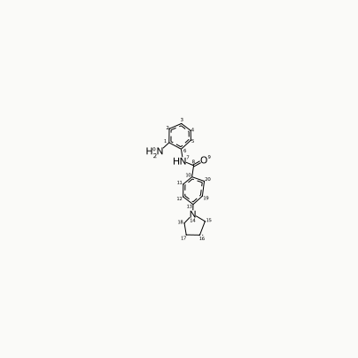 Nc1ccccc1NC(=O)c1ccc(N2C[CH]CC2)cc1